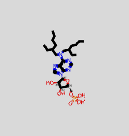 CCCCC(CC)CN(CC(CC)CCCC)c1ncnc2c1ncn2[C@@H]1O[C@H](COP(=O)(O)O)[C@@H](O)[C@H]1O